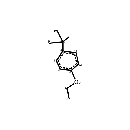 CCOc1ccc(C(C)(C)C)cc1